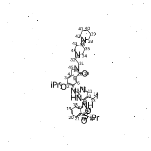 CC(C)Oc1cc2c(cc1Nc1ncc(CI)c(Nc3ccccc3S(=O)(=O)C(C)C)n1)C(=O)N(CCN1CCC(N3CCCCC3)CC1)C2